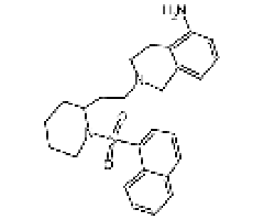 Nc1cccc2c1CCN(CCC1CCCCN1S(=O)(=O)c1cccc3ccccc13)C2